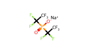 O=P([O-])(C(F)(F)C(F)(F)F)C(F)(F)C(F)(F)F.[Na+]